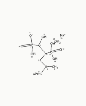 CCCCCN(C)CC(C(O)P(=O)([O-])O)P(=O)(O)O.O.[Na+]